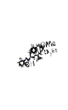 CCOC(=O)CC1(CCC(/C=C/c2ccccc2O)Cc2ccc(CC(=O)OC)cc2)CC1